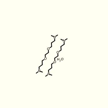 CN(C)CCCOCCOCCCN(C)C.CN(C)CCCOCCOCCCN(C)C.O